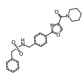 O=C(c1coc(-c2ccc(CNS(=O)(=O)Cc3ccccc3)cc2)n1)N1CCCCC1